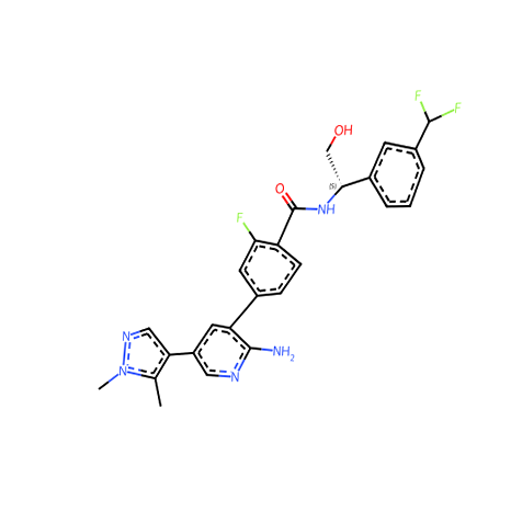 Cc1c(-c2cnc(N)c(-c3ccc(C(=O)N[C@H](CO)c4cccc(C(F)F)c4)c(F)c3)c2)cnn1C